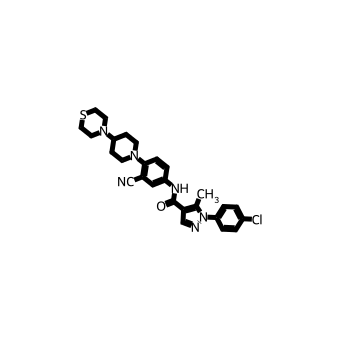 Cc1c(C(=O)Nc2ccc(N3CCC(N4CCSCC4)CC3)c(C#N)c2)cnn1-c1ccc(Cl)cc1